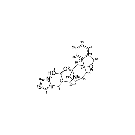 O=C(O)C(Cc1cscn1)CN1C2CCC1CC1(C2)OCc2ccccc21